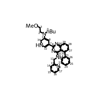 CCCCN(CCOC)C1=CC(c2nc(NCc3ccccn3)c3c(-c4ccccc4)cccc3n2)=CNC1